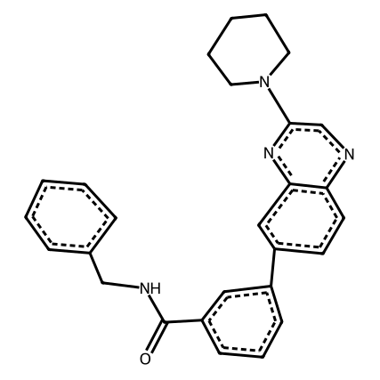 O=C(NCc1ccccc1)c1cccc(-c2ccc3ncc(N4CCCCC4)nc3c2)c1